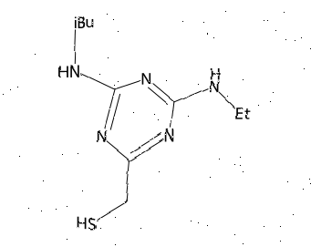 CCNc1nc(CS)nc(NC(C)CC)n1